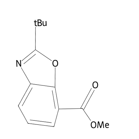 COC(=O)c1cccc2nc(C(C)(C)C)oc12